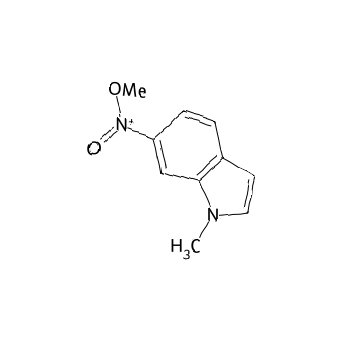 CO[N+](=O)c1ccc2ccn(C)c2c1